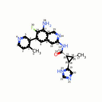 Cc1ccncc1-c1cc2cc(NC(=O)[C@@H]3[C@H](C)[C@H]3c3cnc[nH]3)ncc2c(N)c1F